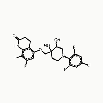 O=C1CCc2c(OCC3(O)CCN(c4c(F)cc(Cl)cc4F)CC3O)cc(F)c(F)c2N1